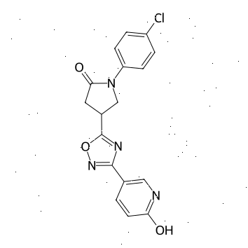 O=C1CC(c2nc(-c3ccc(O)nc3)no2)CN1c1ccc(Cl)cc1